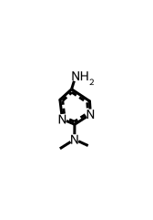 CN(C)c1ncc(N)cn1